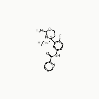 CC[C@@]1(c2cc(NC(=O)c3ccccn3)ccc2F)CCOC(N)=N1